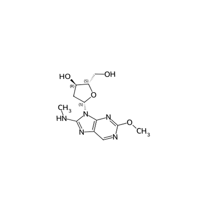 CNc1nc2cnc(OC)nc2n1[C@@H]1C[C@@H](O)[C@H](CO)O1